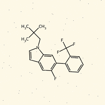 CC(C)(C)Cn1ccc2cc(F)c(-c3ccccc3C(F)(F)F)cc21